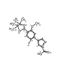 COc1cc(-c2cnn(C(=O)O)c2)c(F)cc1B1OC(C)(C)C(C)(C)O1